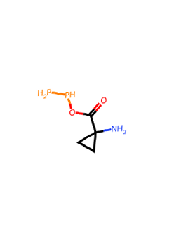 NC1(C(=O)OPP)CC1